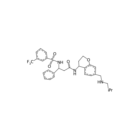 CC(C)CNCc1ccc2c(c1)OCCC2NC(=O)CC(NS(=O)(=O)c1cccc(C(F)(F)F)c1)c1ccccc1